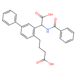 O=C(O)CCCc1ccc(-c2ccccc2)cc1C(NC(=O)c1ccccc1)C(=O)O